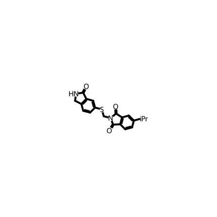 CC(C)c1ccc2c(c1)C(=O)N(CSc1ccc3c(c1)C(=O)NC3)C2=O